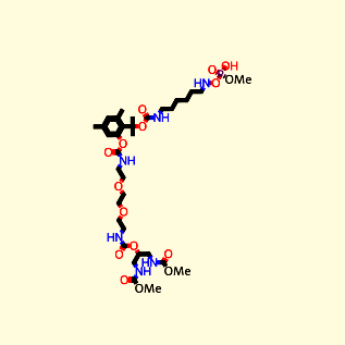 COC(=O)NCC(CNC(=O)OC)OC(=O)NCCOCCOCCNC(=O)Oc1cc(C)cc(C)c1C(C)(C)OC(=O)NCCCCCCNOP(=O)(O)OC